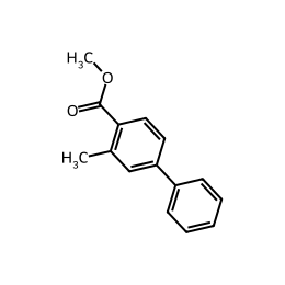 COC(=O)c1ccc(-c2ccccc2)cc1C